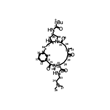 CCCCC(=O)N[C@@H]1C[C@H]2CSc3cccc(c3)C(=O)N(C)[C@H](C(=O)NCCN(C)C)CCC(=O)N(C)CC(=O)N2C1